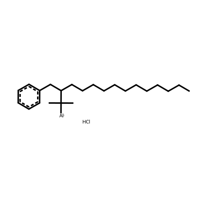 CCCCCCCCCCCCC(Cc1ccccc1)[C](C)(C)[Al].Cl